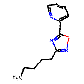 CCCCCc1noc(-c2ccccn2)n1